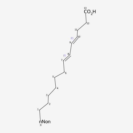 CCCCCCCCCCCCCCC/C=C/C=C/CCC(=O)O